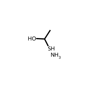 CC(O)S.N